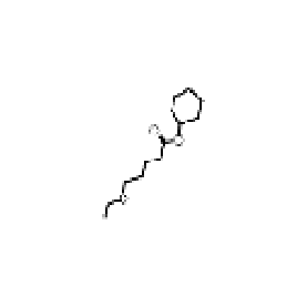 CCOCCCCC(=O)OC1CCCCC1